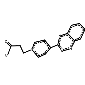 O=C(Br)CC[n+]1ccc(-c2nnc3ccccc3n2)cc1